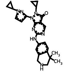 CC1(C)CNCc2cc(Nc3ncc4c(=O)n(C5CC5)n(-c5ccn(C6CC6)n5)c4n3)ccc21